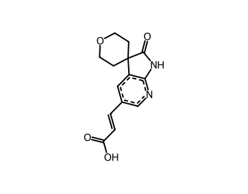 O=C(O)/C=C/c1cnc2c(c1)C1(CCOCC1)C(=O)N2